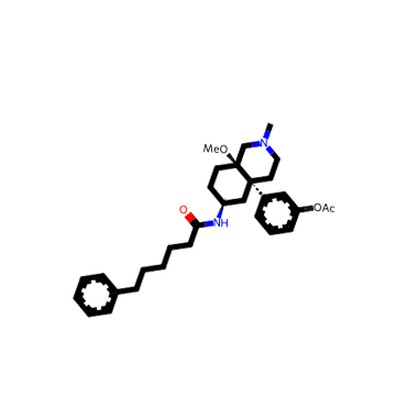 CO[C@]12CC[C@H](NC(=O)CCCCCc3ccccc3)C[C@]1(c1cccc(OC(C)=O)c1)CCN(C)C2